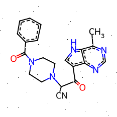 Cc1ncnc2c(C(=O)C(C#N)N3CCN(C(=O)c4ccccc4)CC3)c[nH]c12